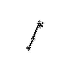 COC1=C(OC)C(=O)C(CCCCCCCCCCOC(=O)OCCCCCCO[N+](=O)[O-])=C(C)C1=O